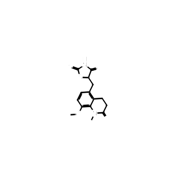 COc1ccc(CC2SC(=S)NC2=O)c2c1N(C)C(=O)CC2